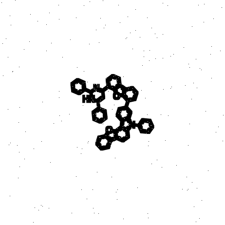 C1=C(c2ccccc2)NC(c2ccccc2)N=C1c1cccc2c1oc1c(-c3ccc4c5c6oc7ccccc7c6ccc5n(-c5ccccc5)c4c3)cccc12